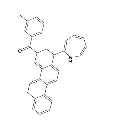 Cc1cccc(C(=O)C2C=c3c(ccc4c3=CCc3ccccc3-4)C(C3=CC=CC=CN3)C2)c1